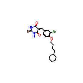 O=C1NC(=S)NC(=O)C1=Cc1ccc(OCCCCC2CCCCC2)c(Br)c1